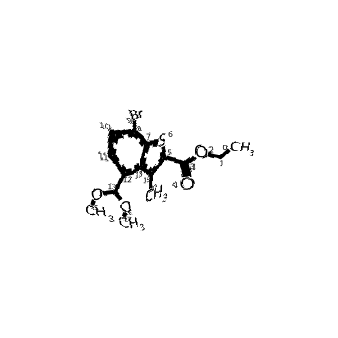 CCOC(=O)c1sc2c(Br)ccc(C(OC)OC)c2c1C